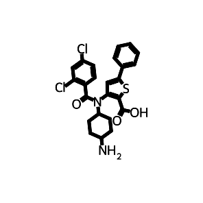 NC1CCC(N(C(=O)c2ccc(Cl)cc2Cl)c2cc(-c3ccccc3)sc2C(=O)O)CC1